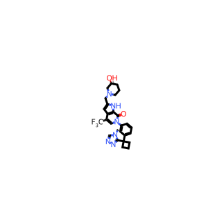 Cn1cnnc1C1(c2cccc(-n3cc(C(F)(F)F)c4cc(CN5CCC[C@H](O)C5)[nH]c4c3=O)c2)CCC1